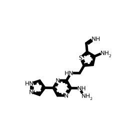 N=Cc1sc(CNc2nc(-c3cn[nH]c3)cnc2NN)cc1N